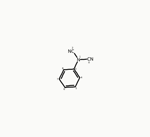 N#CN(C#N)c1ccccc1